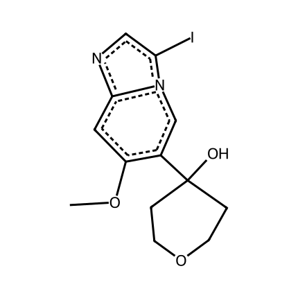 COc1cc2ncc(I)n2cc1C1(O)CCOCC1